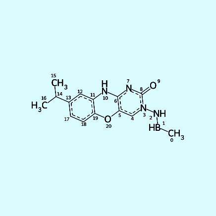 CBNn1cc2c(nc1=O)Nc1cc(C(C)C)ccc1O2